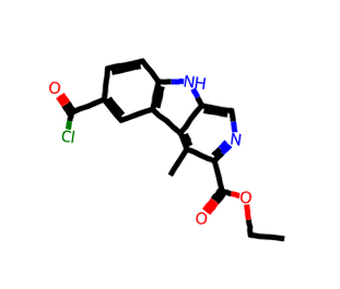 CCOC(=O)c1ncc2[nH]c3ccc(C(=O)Cl)cc3c2c1C